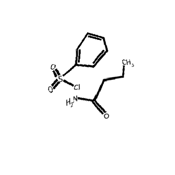 CCCC(N)=O.O=S(=O)(Cl)c1ccccc1